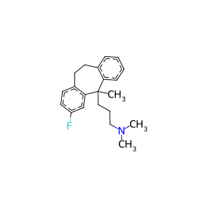 CN(C)CCCC1(C)c2ccccc2CCc2ccc(F)cc21